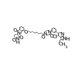 CCc1c[nH]c2ncc(-c3cccc(N4CCN(C(=O)CCCCCCCOc5cccc6c5CN(C5CCC(=O)NC5=O)C6=O)CC4=O)c3)c(Cl)c12